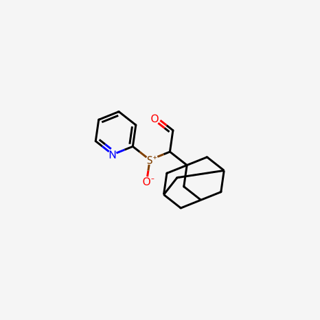 O=CC([S+]([O-])c1ccccn1)C12CC3CC(CC(C3)C1)C2